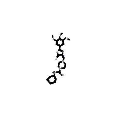 COc1cc(C2=N/C(=C/N3CCN(C(=N)Nc4ccccc4)CC3)C(=O)O2)cc(OC)c1OC